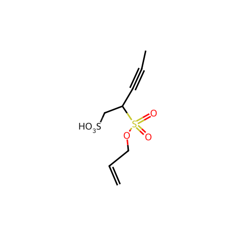 C=CCOS(=O)(=O)C(C#CC)CS(=O)(=O)O